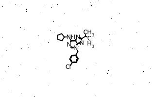 CC(C)c1nc2c(NC3CCCC3)ncn(Cc3ccc(Cl)cc3)c-2n1